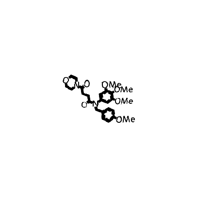 COc1ccc(CN(C(=O)CCC(=O)N2CCOCC2)c2cc(OC)c(OC)c(OC)c2)cc1